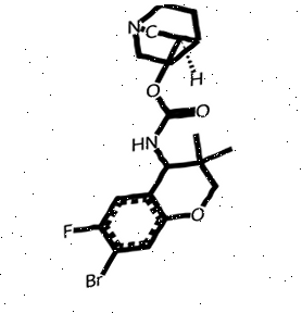 CC1(C)COc2cc(Br)c(F)cc2C1NC(=O)O[C@H]1CN2CCC1CC2